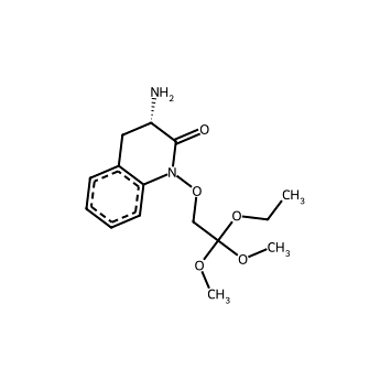 CCOC(CON1C(=O)[C@@H](N)Cc2ccccc21)(OC)OC